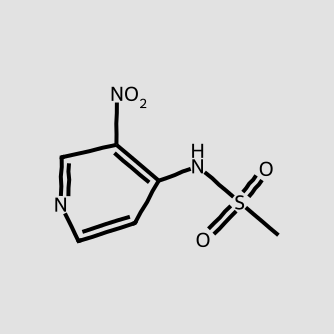 CS(=O)(=O)Nc1ccncc1[N+](=O)[O-]